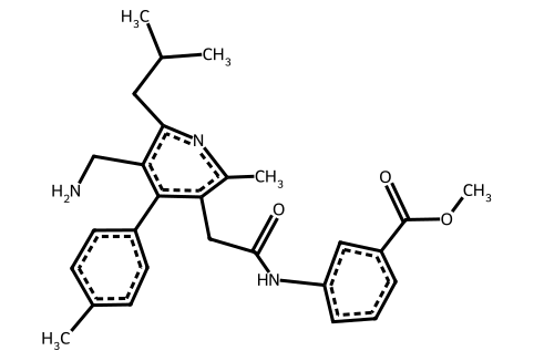 COC(=O)c1cccc(NC(=O)Cc2c(C)nc(CC(C)C)c(CN)c2-c2ccc(C)cc2)c1